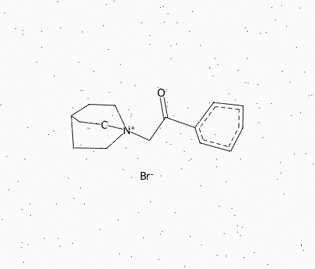 O=C(C[N+]12CCC(CC1)CC2)c1ccccc1.[Br-]